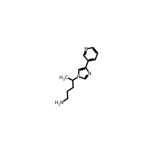 CC(CCCN)n1cnc(-c2cccnc2)c1